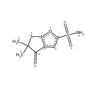 CC1(C)Sc2oc(S(N)(=O)=O)cc2C1=O